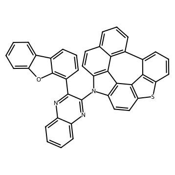 c1cc2c3c(c1)ccc1c3c3c4c(ccc3n1-c1nc3ccccc3nc1-c1cccc3c1oc1ccccc13)sc1cccc-2c14